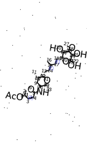 CC(=O)O[C@@H](C)/C=C\C(=O)N[C@@H]1C[C@H](C)[C@H](C/C=C(C)/C=C/[C@H]2O[C@](C)(O)[C@H](O)[C@@]3(CO3)[C@@H]2O)O[C@@H]1C